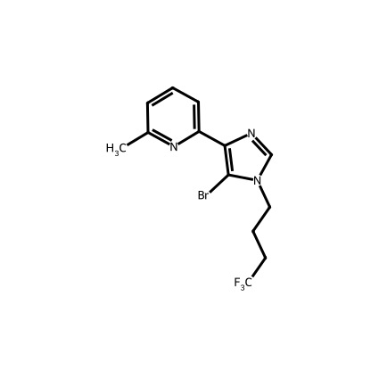 Cc1cccc(-c2ncn(CCCC(F)(F)F)c2Br)n1